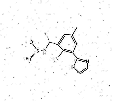 Cc1cc(-c2ncc[nH]2)c(N)c([C@@H](C)N[S@+]([O-])C(C)(C)C)c1